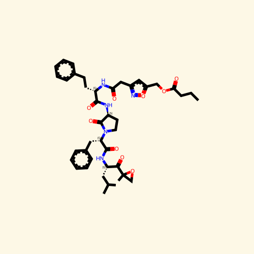 CCCC(=O)OCc1cc(CC(=O)N[C@@H](CCc2ccccc2)C(=O)N[C@H]2CCN([C@@H](Cc3ccccc3)C(=O)N[C@@H](CC(C)C)C(=O)C3(C)CO3)C2=O)no1